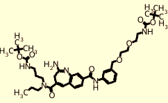 CCCN(CCCNC(=O)OC(C)(C)C)C(=O)C1=Cc2ccc(C(=O)Nc3cccc(COCCOCCNC(=O)OC(C)(C)C)c3)cc2N=C(N)C1